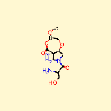 CCOB1COC2CN(C(=O)C(N)CO)CC2(N)C(=O)O1